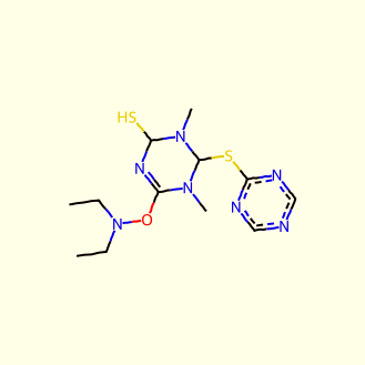 CCN(CC)OC1=NC(S)N(C)C(Sc2ncncn2)N1C